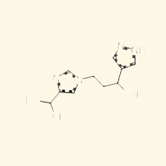 CC(C)c1cn(CCC(C)c2cn[nH]c2)cn1